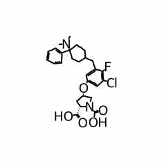 CN(C)C1(c2ccccc2)CCC(Cc2cc(O[C@H]3C[C@@H](C(=O)O)N(C(=O)O)C3)cc(Cl)c2F)CC1